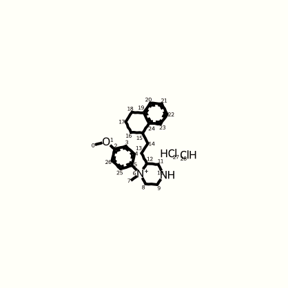 COc1ccc([N+]2(C)CCNCC2CCC2CCCc3ccccc32)cc1.Cl.Cl